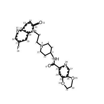 O=C(NC1CCN(CCn2c(=O)ccc3ncc(F)cc32)CC1)c1cc2c(cn1)OCCO2